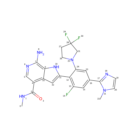 CNC(=O)c1cnc(N)c2[nH]c(-c3c(F)cc(-c4nccn4C)cc3N3CCC(F)(F)C3)cc12